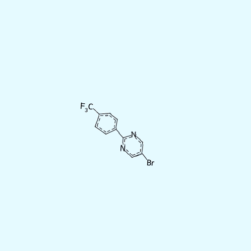 FC(F)(F)c1ccc(-c2ncc(Br)cn2)cc1